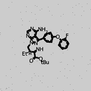 CC[C@H](Cn1nc(-c2ccc(Oc3ccccc3F)cc2)c2c(N)ncnc21)C(=N)C(=O)OC(C)(C)C